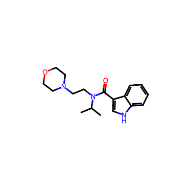 CC(C)N(CCN1CCOCC1)C(=O)c1c[nH]c2ccccc12